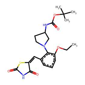 CCOc1cccc(/C=C2/SC(=O)NC2=O)c1N1CCC(NC(=O)OC(C)(C)C)C1